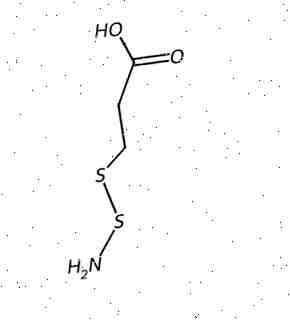 NSSCCC(=O)O